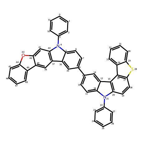 c1ccc(-n2c3ccc(-c4ccc5c(c4)c4c6c(ccc4n5-c4ccccc4)sc4ccccc46)cc3c3cc4c(cc32)oc2ccccc24)cc1